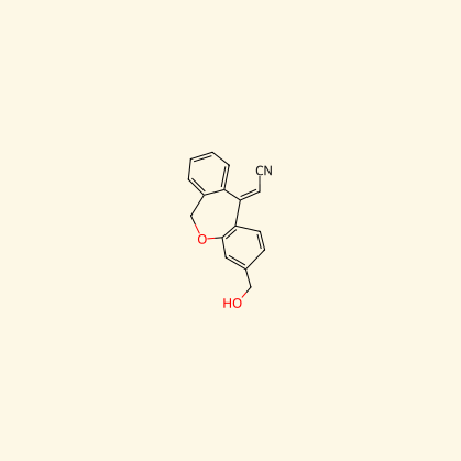 N#C/C=C1\c2ccccc2COc2cc(CO)ccc21